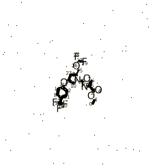 CCOC(=O)c1coc(N2C[C@@H](Oc3ccc(C(F)(F)F)cc3)C[C@H]2COC(F)F)n1